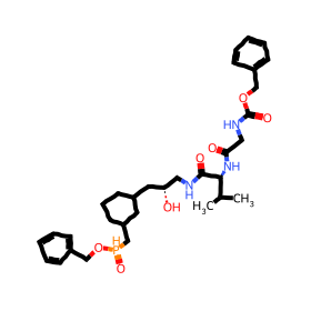 CC(C)[C@H](NC(=O)CNC(=O)OCc1ccccc1)C(=O)NC[C@H](O)CC1CCCC(C[PH](=O)OCc2ccccc2)C1